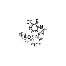 CC(C)(C)[Si](C)(C)O[C@]1(C)COCCN(c2ncnc3c(F)c(Cl)ncc23)C1